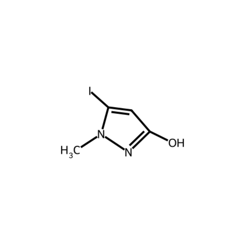 Cn1nc(O)cc1I